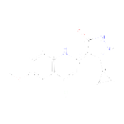 COc1ccc2c(c1)C(Cl)=C/C(=C1/C(=O)NN=C1C1CC1)N2